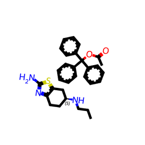 CC(=O)OC(c1ccccc1)(c1ccccc1)c1ccccc1.CCCN[C@H]1CCc2nc(N)sc2C1